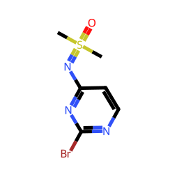 CS(C)(=O)=Nc1ccnc(Br)n1